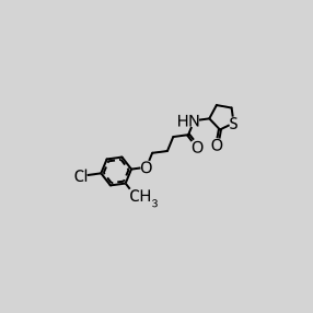 Cc1cc(Cl)ccc1OCCCC(=O)NC1CCSC1=O